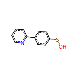 OSc1ccc(-c2ccccn2)cc1